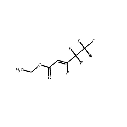 CCOC(=O)/C=C(\F)C(F)(F)C(F)(F)Br